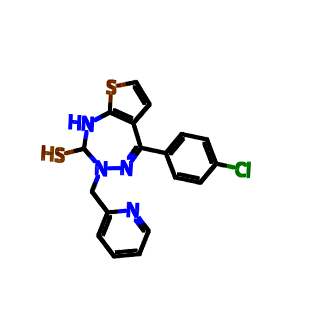 SC1Nc2sccc2C(c2ccc(Cl)cc2)=NN1Cc1ccccn1